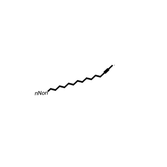 [CH2]C#CCCCCCCCCCCCCCCCCCCCC[CH2]